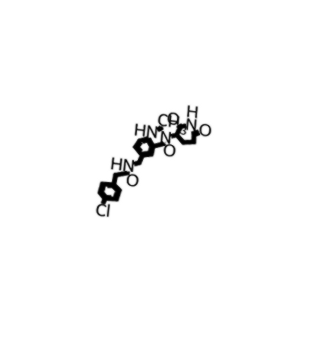 CC1Nc2ccc(CNC(=O)Cc3ccc(Cl)cc3)cc2C(=O)N1C1CCC(=O)NC1=O